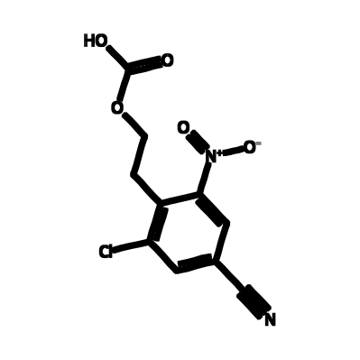 N#Cc1cc(Cl)c(CCOC(=O)O)c([N+](=O)[O-])c1